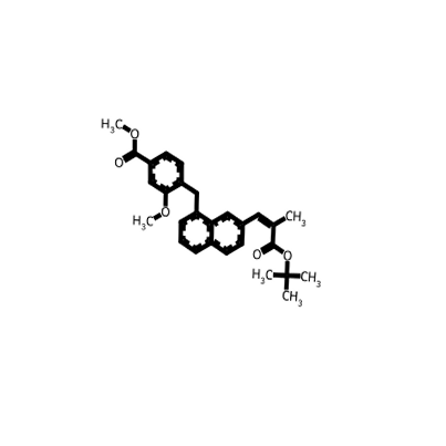 COC(=O)c1ccc(Cc2cccc3ccc(C=C(C)C(=O)OC(C)(C)C)cc23)c(OC)c1